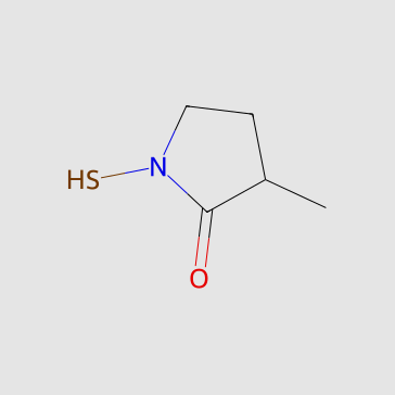 CC1CCN(S)C1=O